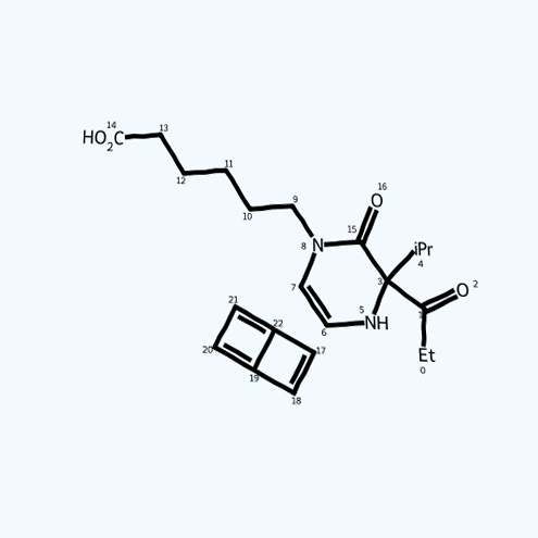 CCC(=O)C1(C(C)C)NC=CN(CCCCCC(=O)O)C1=O.c1cc2ccc1-2